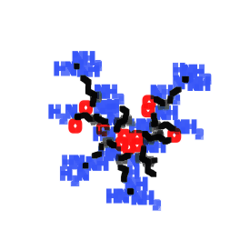 CC[C@H](C)[C@H](NC(=O)[C@H](CCC(N)=O)NC(=O)[C@@H](N)CCCNC(=N)N)C(=O)N[C@@H](CCCNC(=N)N)C(=O)N[C@@H](CCCNC(=N)N)C(=O)N[C@H](C(=O)N[C@H](C(=O)N[C@@H](CCC(N)=O)C(=O)N[C@@H](CCCNC(=N)N)C(N)=O)[C@@H](C)CC)[C@@H](C)CC